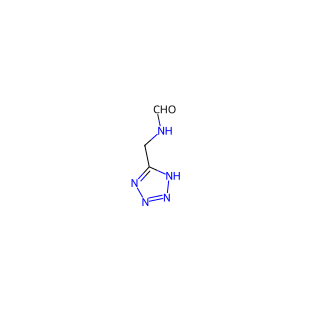 O=CNCc1nnn[nH]1